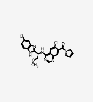 COC[C@H](Nc1ncnc2cc(C(=O)N3CC=CC3)c(Cl)cc12)c1nc2cc(Cl)ccc2[nH]1